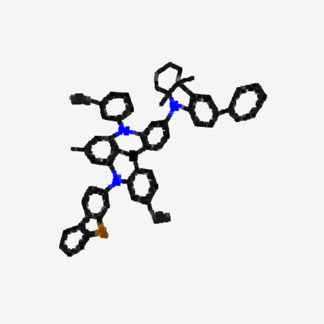 Cc1cc2c3c(c1)N(c1ccc4c(c1)sc1ccccc14)c1cc(C(C)(C)C)ccc1B3c1ccc(N3c4ccc(-c5ccccc5)cc4C4(C)CCCCC34C)cc1N2c1cccc(C(C)(C)C)c1